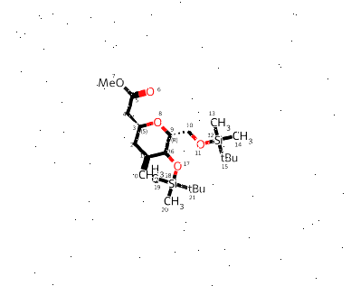 C=C1C[C@@H](CC(=O)OC)O[C@H](CO[Si](C)(C)C(C)(C)C)C1O[Si](C)(C)C(C)(C)C